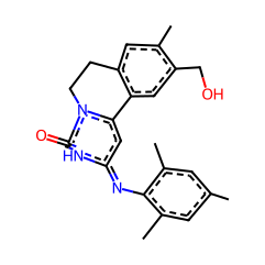 Cc1cc(C)c(/N=c2\cc3n(c(=O)[nH]2)CCc2cc(C)c(CO)cc2-3)c(C)c1